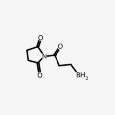 BCCC(=O)N1C(=O)CCC1=O